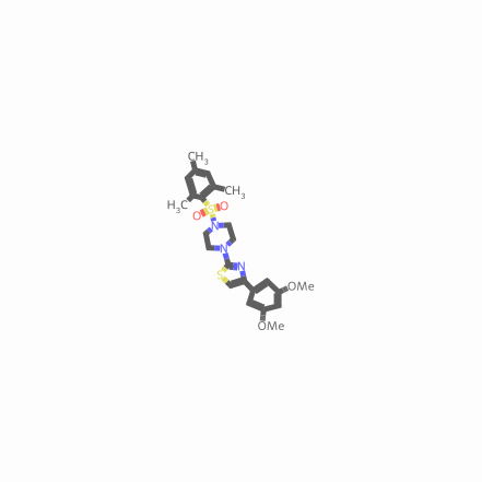 COc1cc(OC)cc(-c2csc(N3CCN(S(=O)(=O)c4c(C)cc(C)cc4C)CC3)n2)c1